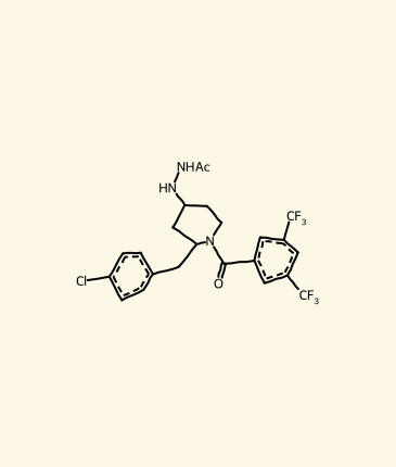 CC(=O)NNC1CCN(C(=O)c2cc(C(F)(F)F)cc(C(F)(F)F)c2)C(Cc2ccc(Cl)cc2)C1